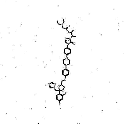 CCN(CC)CC(=O)OC(C)C(C)n1ncn(-c2ccc(N3CCN(c4ccc(OCC5COC(Cn6cncn6)(c6ccc(F)cc6F)O5)cc4)CC3)cc2)c1=O